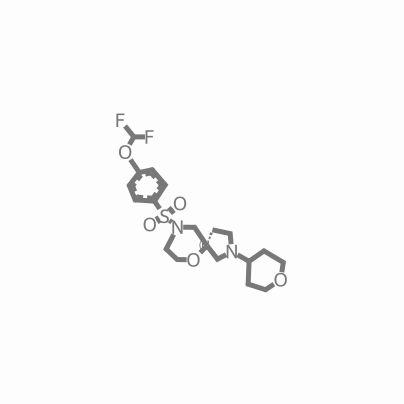 O=S(=O)(c1ccc(OC(F)F)cc1)N1CCO[C@@]2(CCN(C3CCOCC3)C2)C1